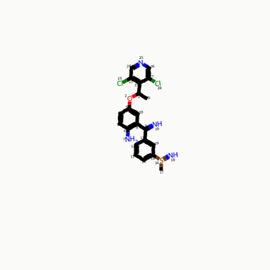 CC(Oc1ccc(N)c(C(=N)c2cccc(S(C)=N)c2)c1)c1c(Cl)cncc1Cl